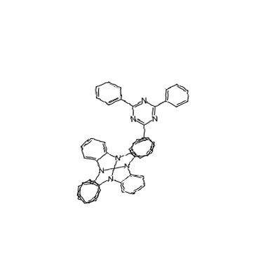 c1ccc(-c2nc(-c3ccccc3)nc(-c3cccc(N4c5ccccc5N(c5ccccc5)C45N(c4ccccc4)c4ccccc4N5c4ccccc4)c3)n2)cc1